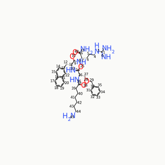 N=C(N)NCCC[C@H](NC(=O)[C@@H](Cc1ccc2ccccc2c1)NC(=O)[C@H](COCc1ccccc1)NC(=O)CCCCCCN)C(N)=O